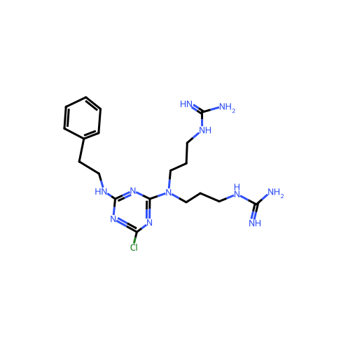 N=C(N)NCCCN(CCCNC(=N)N)c1nc(Cl)nc(NCCc2ccccc2)n1